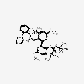 COc1cc(-c2cc(OC)cc(C(C)(C)C)c2Op2oc3ccccc3c3ccccc3o2)c(OC(=O)OC(C)(C)C)c(C(C)(C)C)c1